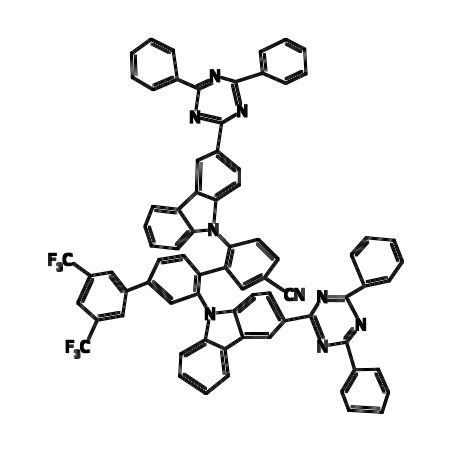 N#Cc1ccc(-n2c3ccccc3c3cc(-c4nc(-c5ccccc5)nc(-c5ccccc5)n4)ccc32)c(-c2ccc(-c3cc(C(F)(F)F)cc(C(F)(F)F)c3)cc2-n2c3ccccc3c3cc(-c4nc(-c5ccccc5)nc(-c5ccccc5)n4)ccc32)c1